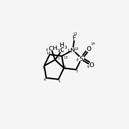 CC1(C)C2CCC13CS(=O)(=O)N(F)C3C2